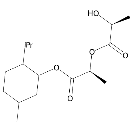 CC1CCC(C(C)C)C(OC(=O)[C@H](C)OC(=O)[C@H](C)O)C1